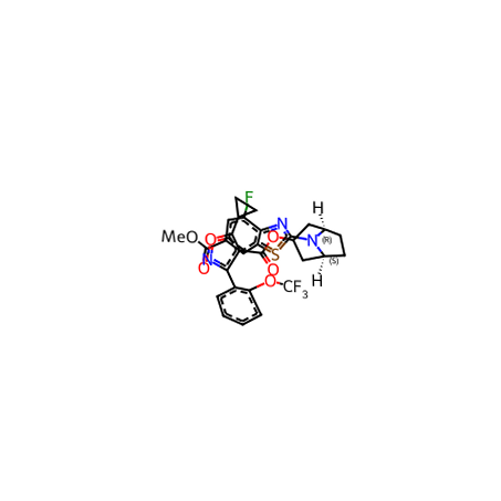 COC(=O)c1cc(F)c2nc(N3[C@@H]4CC[C@H]3CC(OC(=O)c3c(-c5ccccc5OC(F)(F)F)noc3C3CC3)C4)sc2c1